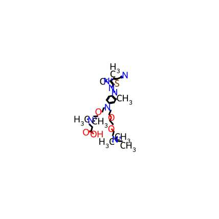 [C-]#[N+]c1c(/N=N/c2ccc(N(CCOCCOCC[N+](C)(C)CCC)CCOCC[N+](C)(C)CCC(=O)O)cc2C)sc(C#N)c1C